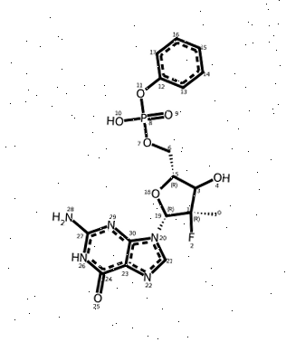 C[C@@]1(F)C(O)[C@@H](COP(=O)(O)Oc2ccccc2)O[C@H]1n1cnc2c(=O)[nH]c(N)nc21